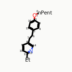 CCCCCOc1ccc(CCc2ccc(CC)nc2)cc1